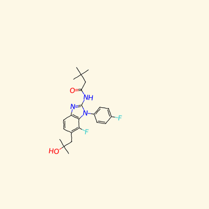 CC(C)(C)CC(=O)Nc1nc2ccc(CC(C)(C)O)c(F)c2n1-c1ccc(F)cc1